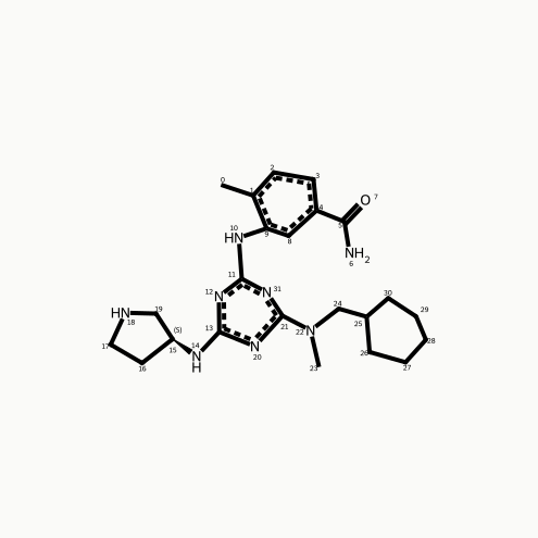 Cc1ccc(C(N)=O)cc1Nc1nc(N[C@H]2CCNC2)nc(N(C)CC2CCCCC2)n1